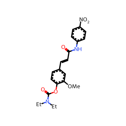 CCN(CC)C(=O)Oc1ccc(C=CC(=O)Nc2ccc([N+](=O)[O-])cc2)cc1OC